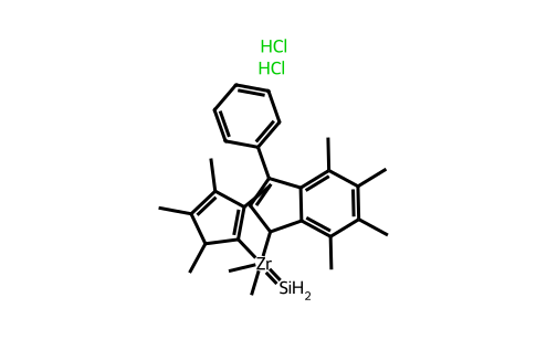 CC1=C(C)C(C)[C]([Zr]([CH3])([CH3])(=[SiH2])[CH]2C=C(c3ccccc3)c3c(C)c(C)c(C)c(C)c32)=C1C.Cl.Cl